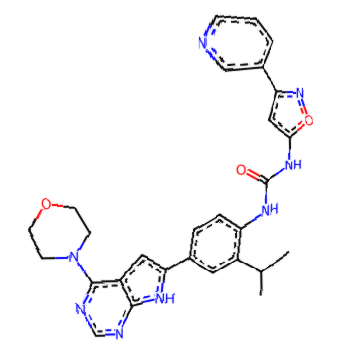 CC(C)c1cc(-c2cc3c(N4CCOCC4)ncnc3[nH]2)ccc1NC(=O)Nc1cc(-c2cccnc2)no1